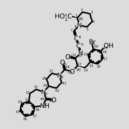 O=C(O)[C@H]1CCCCN1C=C=C=NC(=O)[C@@H](Cc1ccc(O)c(Br)c1)OC(=O)N1CCC(N2CCc3ccccc3NC2=O)CC1